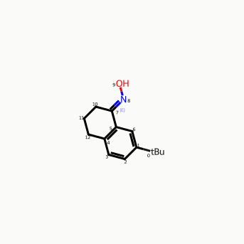 CC(C)(C)c1ccc2c(c1)/C(=N/O)CCC2